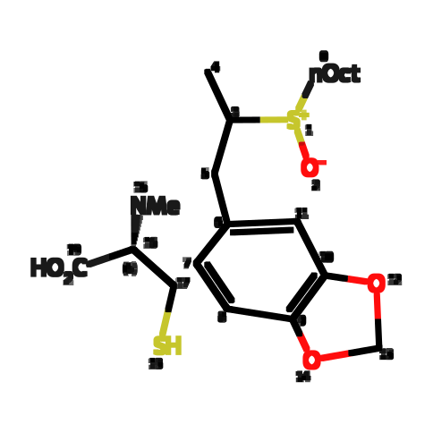 CCCCCCCC[S+]([O-])C(C)Cc1ccc2c(c1)OCO2.CN[C@H](CS)C(=O)O